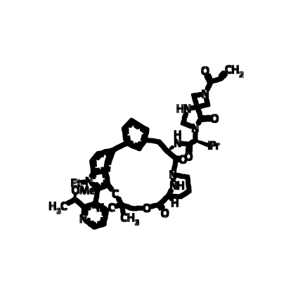 C=CC(=O)N1CC2(C1)NCN([C@H](C(=O)N[C@H]1Cc3cccc(c3)-c3ccc4c(c3)c(c(-c3cccnc3[C@H](C)OC)n4CC)CC(C)(C)COC(=O)[C@@H]3CCCN(N3)C1=O)C(C)C)C2=O